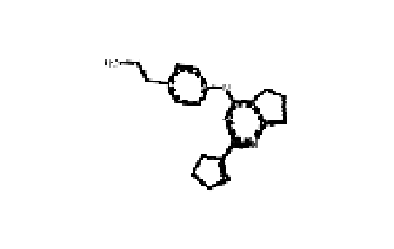 OCCc1ccc(Nc2cc(C3=CCCC3)nc3c2CCC3)cc1